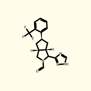 O=CN1C[C@@H]2C[C@@H](c3ccccc3C(F)(F)F)C[C@@H]2C1c1nc[nH]n1